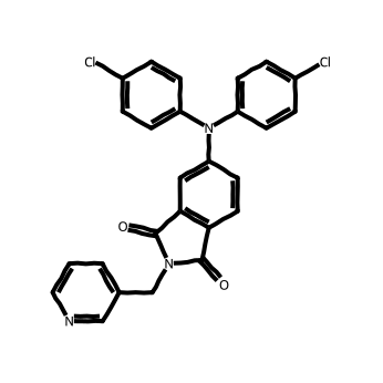 O=C1c2ccc(N(c3ccc(Cl)cc3)c3ccc(Cl)cc3)cc2C(=O)N1Cc1cccnc1